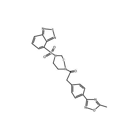 Cc1nc(-c2ccc(CC(=O)N3CCN(S(=O)(=O)c4cccc5nsnc45)CC3)cc2)no1